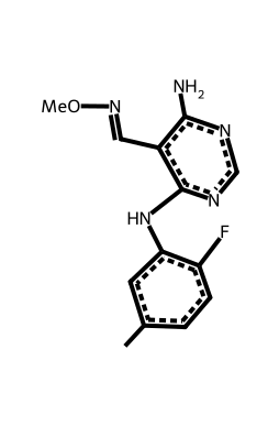 CON=Cc1c(N)ncnc1Nc1cc(C)ccc1F